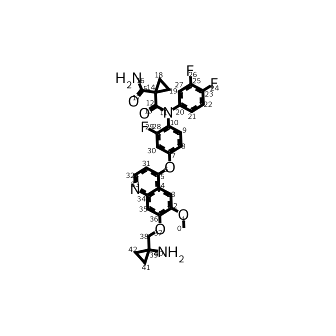 COc1cc2c(Oc3ccc(N(C(=O)C4(C(N)=O)CC4)c4ccc(F)c(F)c4)c(F)c3)ccnc2cc1OCC1(N)CC1